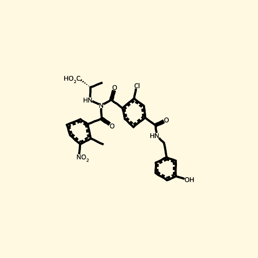 Cc1c(C(=O)N(N[C@@H](C)C(=O)O)C(=O)c2ccc(C(=O)NCc3cccc(O)c3)cc2Cl)cccc1[N+](=O)[O-]